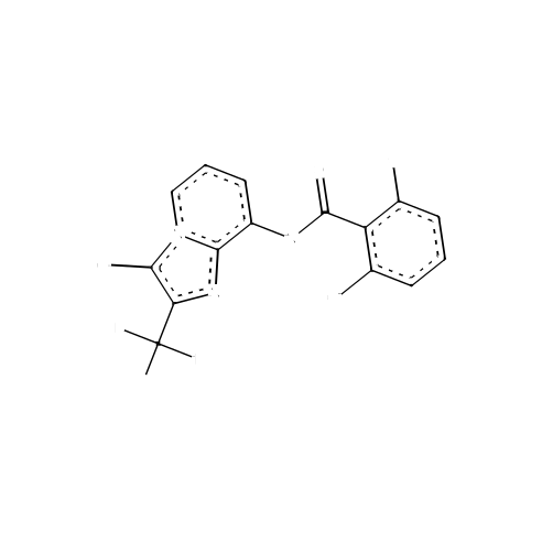 O=C(Nc1cccn2c(Cl)c(C(F)(F)F)nc12)c1c(Cl)cccc1Cl